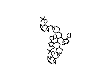 CC(C)(C)Oc1nccnc1CN1CCC(CC(C(=O)C(CC2CCN(Cc3nccnc3OC(C)(C)C)CC2)c2sccc2Cl)c2sccc2Cl)CC1